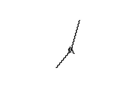 CCCCCCCCCCCCCCCCCCCN1C=CN(CCCCCCCCCCCCCC)C1CCC